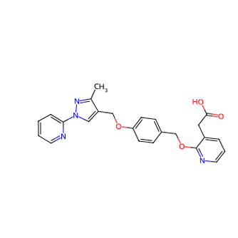 Cc1nn(-c2ccccn2)cc1COc1ccc(COc2ncccc2CC(=O)O)cc1